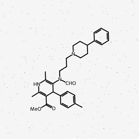 COC(=O)C1=C(C)NC(C)=C(N(C=O)CCCN2CCC(c3ccccc3)CC2)C1c1ccc(C)cc1